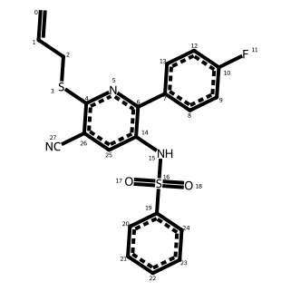 C=CCSc1nc(-c2ccc(F)cc2)c(NS(=O)(=O)c2ccccc2)cc1C#N